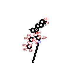 CCCCCCCCCCCC(=O)NC1C(O)C(C[C@@H]2O[C@H](C)C(O[C@@H]3OC[C@@H](O)C(O)C3O)C(O)C2O)[C@H](OC(=O)C23CC[C@@H](C)CC2C2=CCC4C5(C)CCC(O)C(C)(C=O)[C@@H]5CC[C@@]4(C)[C@]2(C)C[C@H]3O)O[C@@H]1CO